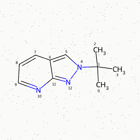 CC(C)(C)n1cc2cccnc2n1